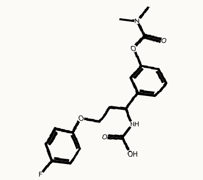 CN(C)C(=O)Oc1cccc(C(CCOc2ccc(F)cc2)NC(=O)O)c1